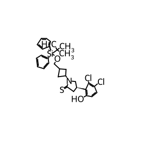 CC(C)(C)[Si](OCC1CC(N2C[C@@H](c3c(O)ccc(Cl)c3Cl)CC2=S)C1)(c1ccccc1)c1ccccc1